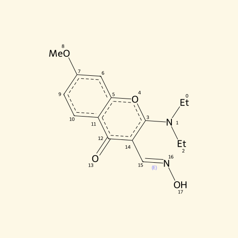 CCN(CC)c1oc2cc(OC)ccc2c(=O)c1/C=N/O